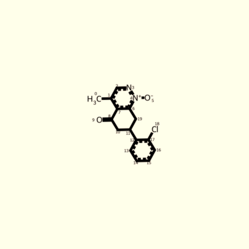 Cc1cn[n+]([O-])c2c1C(=O)CC(c1ccccc1Cl)C2